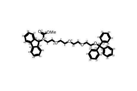 COC(=O)N(CCOCCOCCOCCOC(c1ccccc1)(c1ccccc1)c1ccccc1)C1c2ccccc2-c2ccccc21